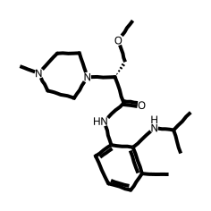 COC[C@H](C(=O)Nc1cccc(C)c1NC(C)C)N1CCN(C)CC1